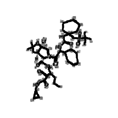 CCCC(NC(=O)[C@@H]1[C@H]2CC(C)(C)O[C@H]2CN1C(=O)[C@@H](NC(=O)NC1(CS(=O)(=O)C(C)(C)C)CCCCC1)C1CCCCC1)C(=O)C(=O)NC1CC1